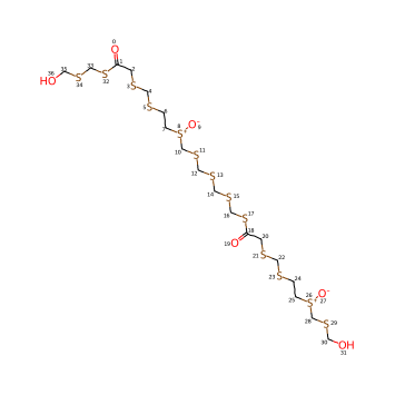 O=C(CSCSCC[S+]([O-])CSCSCSCSC(=O)CSCSCC[S+]([O-])CSCO)SCSCO